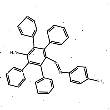 Nc1ccc(N=Nc2c(-c3ccccc3)c(-c3ccccc3)c(N)c(-c3ccccc3)c2-c2ccccc2)cc1